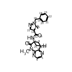 CN1c2nccnc2[C@H]2C[C@@](NC(=O)c3cnn(Cc4ccccc4)n3)(C2)C1=O